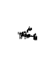 Cc1cc(COc2ccc(C(=O)NCC3(N4CCN(CCc5cccnc5)CC4)C(=O)NC(=O)NC3=O)cc2)c2ccccc2n1